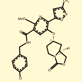 COc1nc(-c2cc(C)no2)c(O[C@H]2CCN3C(=O)OC[C@@H]3C2)cc1C(=O)NCc1ccc(Cl)cc1